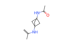 C=C(C)NC12CC(NC(C)=O)(C1)C2